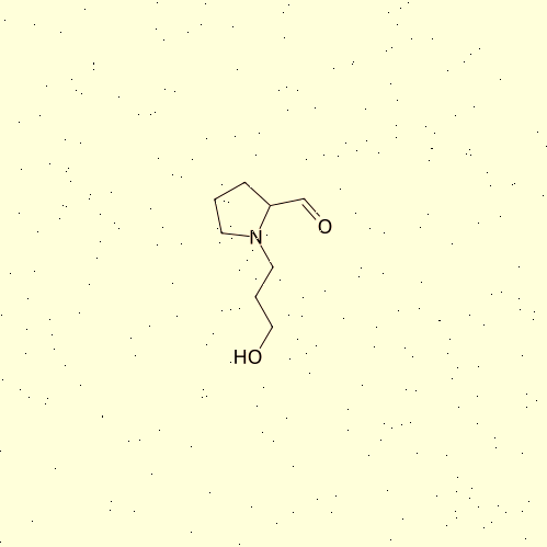 O=CC1CCCN1CCCO